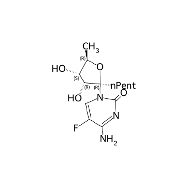 CCCCC[C@@]1(n2cc(F)c(N)nc2=O)O[C@H](C)[C@@H](O)[C@H]1O